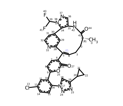 C[C@@H]1CC/C=C(/c2ccc(-c3cc(Cl)ccc3-n3cc(C4CC4)nn3)oc2=O)c2cc(ccn2)-c2c(cnn2C(F)F)NC1=O